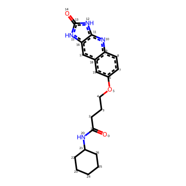 O=C(CCCOc1ccc2nc3[nH]c(=O)[nH]c3cc2c1)NC1CCCCC1